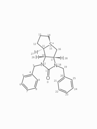 O=C1N(Cc2ccccc2)[C@@H]2[C@H]3CCC[S@@+]3C[C@@H]2N1Cc1ccccc1